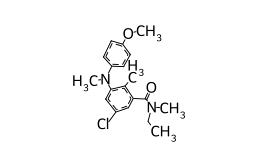 CCN(C)C(=O)c1cc(Cl)cc(N(C)c2ccc(OC)cc2)c1C